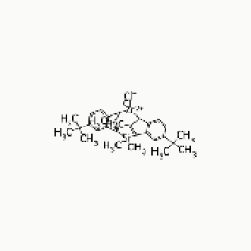 CC1=C2c3cc(C(C)(C)C)ccc3[CH]1[Zr+2][CH]1C(C)=C(c3cc(C(C)(C)C)ccc31)[Si]2(C)C.[Cl-].[Cl-]